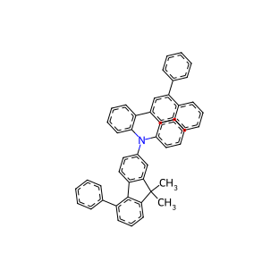 CC1(C)c2cc(N(c3ccccc3)c3ccccc3-c3cc(-c4ccccc4)c4ccccc4c3)ccc2-c2c(-c3ccccc3)cccc21